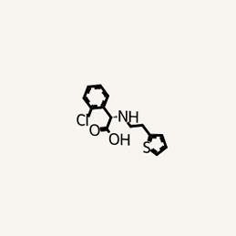 O=C(O)[C@@H](NCCc1cccs1)c1ccccc1Cl